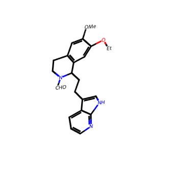 CCOc1cc2c(cc1OC)CCN(C=O)C2CCc1c[nH]c2ncccc12